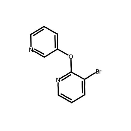 Brc1c[c]cnc1Oc1cccnc1